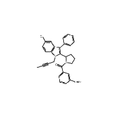 CC#CCn1c(C2CCCN2C(=O)c2cccc(OC)c2)c(-c2ccccc2)c2cc(Cl)ccc21